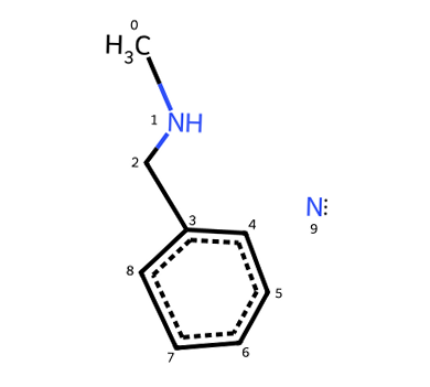 CNCc1ccccc1.[N]